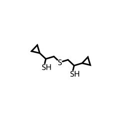 SC(CSCC(S)C1CC1)C1CC1